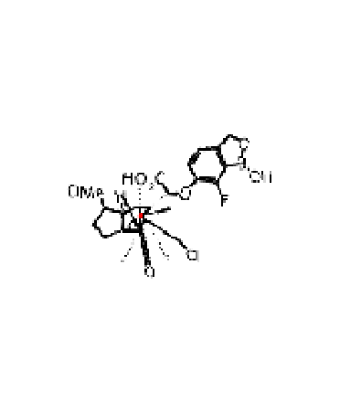 CO[C@@H]1CC[C@@]23CC[C@@H](C)[C@](C)([C@H](C(Oc4ccc5c(c4F)B(O)OC5)C(=O)O)C[C@@](C)(CCl)C(=O)[C@@H]2C)[C@@H]13